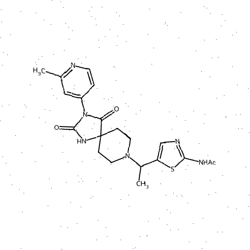 CC(=O)Nc1ncc(C(C)N2CCC3(CC2)NC(=O)N(c2ccnc(C)c2)C3=O)s1